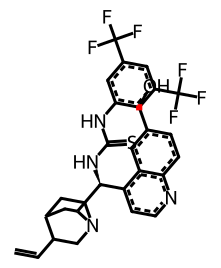 C=CC1CN2CCC1CC2[C@@H](NC(=S)Nc1cc(C(F)(F)F)cc(C(F)(F)F)c1)c1ccnc2ccc(CO)cc12